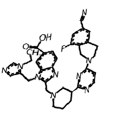 CCn1cncc1Cn1c(CN2CCC[C@H](c3nccc(N4CCc5cc(C#N)cc(F)c5C4)n3)C2)nc2ccc(C(=O)O)cc21